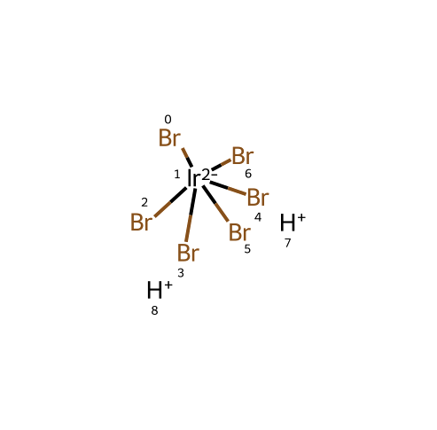 [Br][Ir-2]([Br])([Br])([Br])([Br])[Br].[H+].[H+]